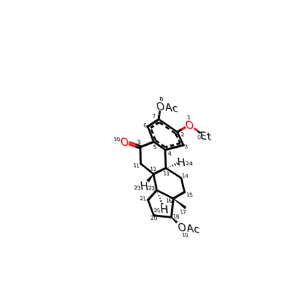 CCOc1cc2c(cc1OC(C)=O)C(=O)C[C@@H]1[C@@H]2CC[C@]2(C)[C@@H](OC(C)=O)CC[C@@H]12